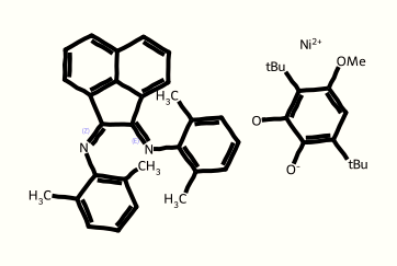 COc1cc(C(C)(C)C)c([O-])c([O-])c1C(C)(C)C.Cc1cccc(C)c1/N=C1\C(=N\c2c(C)cccc2C)c2cccc3cccc1c23.[Ni+2]